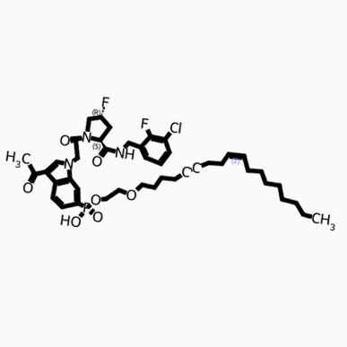 CCCCCCCC/C=C\CCCCCCCCOCCOP(=O)(O)c1ccc2c(C(C)=O)cn(CC(=O)N3C[C@H](F)C[C@H]3C(=O)NCc3cccc(Cl)c3F)c2c1